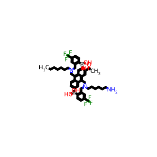 CCCCCCCN(Cc1cc(C(F)(F)F)ccc1B(O)O)Cc1c2ccccc2c(CN(CCCCCCN)Cc2cc(C(F)(F)F)ccc2B(O)O)c2cc(C(C)=O)ccc12